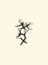 CC(C)(C)CC1OC(C(F)(F)F)(C(F)(F)F)OC1=O